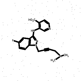 CN(C)CC#CCn1nc(Nc2cnccc2C(=O)O)c2cc(F)ccc21